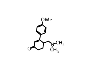 COc1ccc(C2=CC(=O)CCC2CN(C)C)cc1